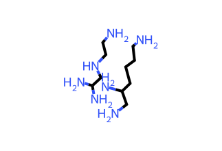 NCCCCC(N)CN.NCCNCC(N)N